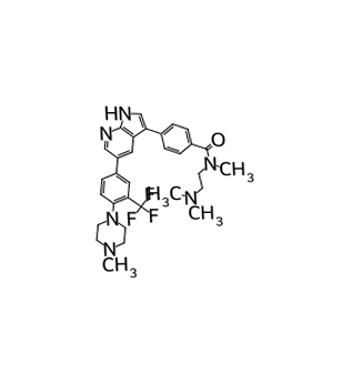 CN(C)CCN(C)C(=O)c1ccc(-c2c[nH]c3ncc(-c4ccc(N5CCN(C)CC5)c(C(F)(F)F)c4)cc23)cc1